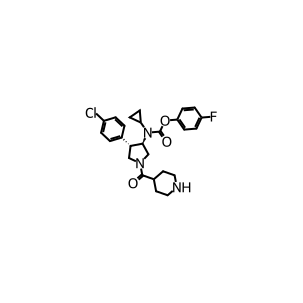 O=C(C1CCNCC1)N1C[C@H](c2ccc(Cl)cc2)[C@@H](N(C(=O)Oc2ccc(F)cc2)C2CC2)C1